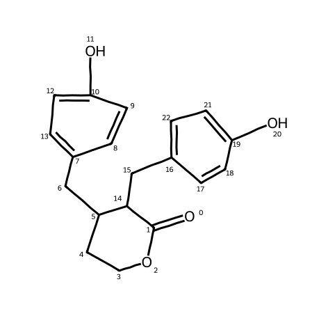 O=C1OCCC(Cc2ccc(O)cc2)C1Cc1ccc(O)cc1